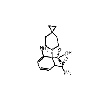 NC(=O)C1C=CC=C(N)C1(N1CCC2(CC1)CC2)S(=O)(=O)O